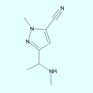 CNC(C)c1cc(C#N)n(C)n1